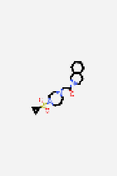 O=C(CN1CCCN(S(=O)(=O)C2CC2)CC1)N1CCC2CCCCC2C1